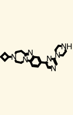 c1cc2c(cc1-c1cncc(N3CCNCC3)n1)nc1n2CCN(C2CCC2)CC1